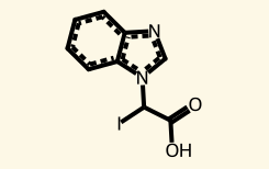 O=C(O)C(I)n1cnc2ccccc21